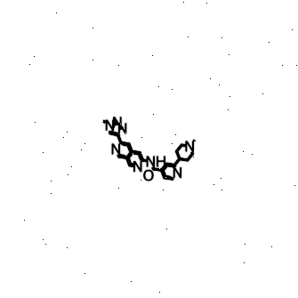 CN1CCC(c2cc(C(=O)Nc3cc4cc(-c5cn(C)nn5)ncc4cn3)ccn2)CC1